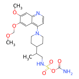 COCOc1cc2c(N3CCC(C(C)CNS(=O)(=O)OC(N)=O)CC3)ccnc2cc1OC